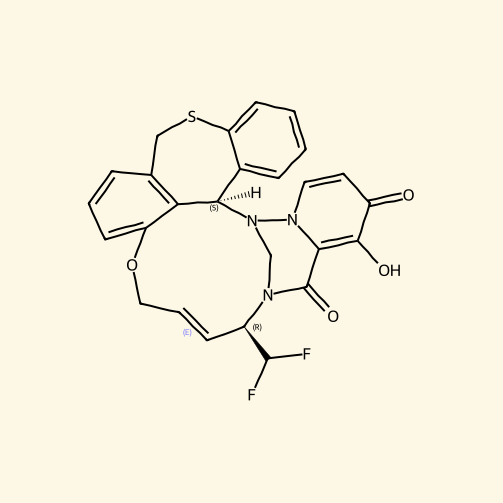 O=C1c2c(O)c(=O)ccn2N2CN1[C@@H](C(F)F)/C=C/COc1cccc3c1[C@H]2c1ccccc1SC3